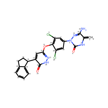 C=C1NC(=O)N(c2cc(Cl)c(Oc3cc(C4CCc5ccccc54)c(=O)[nH]n3)c(Cl)c2)N=C1N